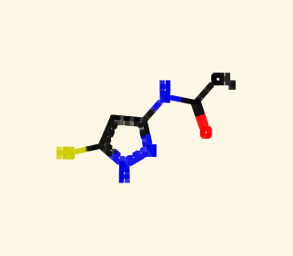 CC(=O)Nc1cc(S)[nH]n1